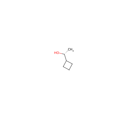 C[C@@H](O)C1C[CH]C1